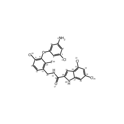 Nc1cc(Cl)cc(Oc2c(Cl)ccc(CNC(=O)c3cc4c(Cl)cc(Cl)cc4[nH]3)c2F)c1